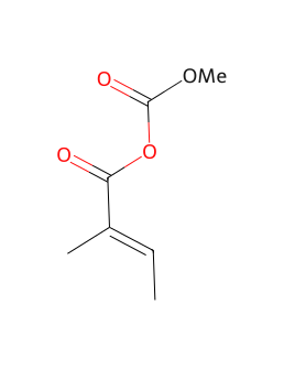 CC=C(C)C(=O)OC(=O)OC